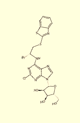 CC(C)[C@H](CSc1nc2ccccc2s1)Nc1nc(Cl)nc2c1ncn2[C@@H]1O[C@H](CO)[C@@H](O)[C@H]1O